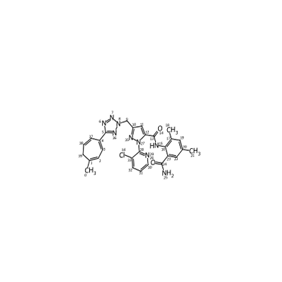 CC1=CC=C(c2nnn(Cc3cc(C(=O)Nc4c(C)cc(C)cc4C(N)=O)n(-c4ncccc4Cl)n3)n2)C=CC1